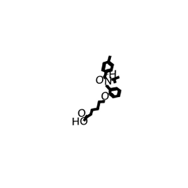 [2H]C(C)(C)N(Cc1ccccc1OCCCCCC(=O)O)C(=O)c1ccc(C)cc1